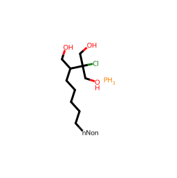 CCCCCCCCCCCCCCC(CO)C(Cl)(CO)CO.P